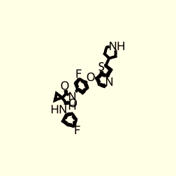 O=C(Nc1ccc(F)cc1)C1(C(=O)Nc2ccc(Oc3ccnc4cc(C5CCNCC5)sc34)c(F)c2)CC1